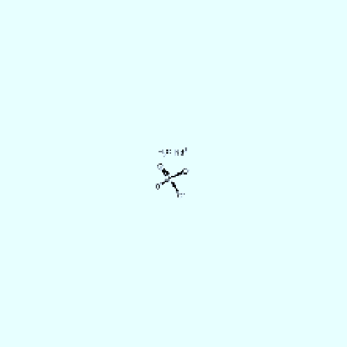 O.O=P([O-])([O-])[O-].[Nd+3]